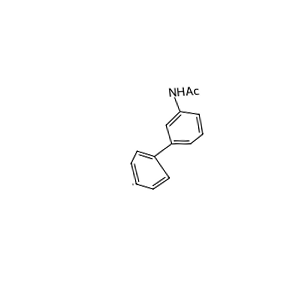 CC(=O)Nc1cccc(-c2cc[c]cc2)c1